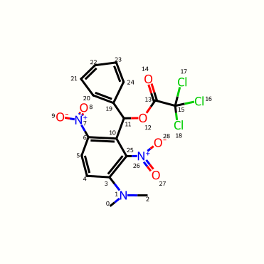 CN(C)c1ccc([N+](=O)[O-])c(C(OC(=O)C(Cl)(Cl)Cl)c2ccccc2)c1[N+](=O)[O-]